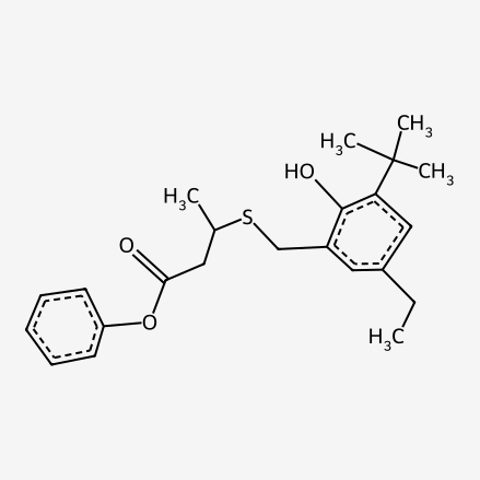 CCc1cc(CSC(C)CC(=O)Oc2ccccc2)c(O)c(C(C)(C)C)c1